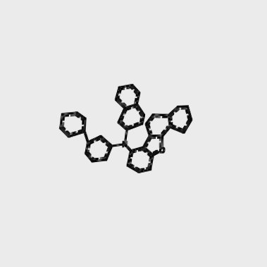 c1ccc(-c2cccc(N(c3ccc4ccccc4c3)c3cccc4oc5c6ccccc6ccc5c34)c2)cc1